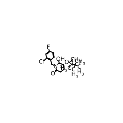 CC(C)(C)[Si](C)(C)O[C@@H]1CCC(=O)N(Cc2ccc(F)cc2Cl)C1O